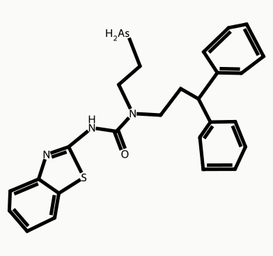 O=C(Nc1nc2ccccc2s1)N(CC[AsH2])CCC(c1ccccc1)c1ccccc1